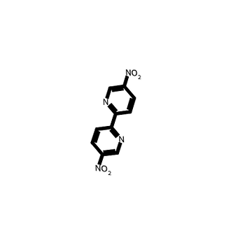 O=[N+]([O-])c1ccc(-c2ccc([N+](=O)[O-])cn2)nc1